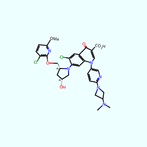 COc1ccc(Cl)c(OC[C@H]2C[C@@H](O)CN2c2cc3c(cc2Cl)c(=O)c(C(=O)O)cn3-c2ccc(N3CC(N(C)C)C3)nc2)n1